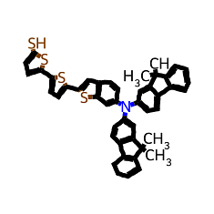 CC1(C)C2=C(CCC=C2)c2ccc(N(c3ccc4c(c3)C(C)(C)c3ccccc3-4)c3ccc4cc(-c5ccc(-c6ccc(S)s6)s5)sc4c3)cc21